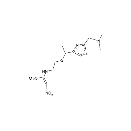 CNC(=C[N+](=O)[O-])NCCSC(C)c1csc(CN(C)C)n1